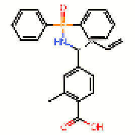 C=CC[C@@H](NP(=O)(c1ccccc1)c1ccccc1)c1ccc(C(=O)O)c(C)c1